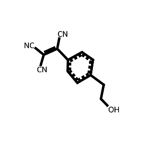 N#CC(C#N)=C(C#N)c1ccc(CCO)cc1